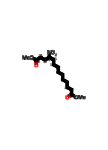 COC(=O)CCCCCCCCCC(CCC(=O)OC)[N+](=O)[O-]